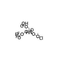 Cc1cc(Cl)ccc1-c1ccc(NC(=O)C(Cc2ccc(C(=O)O)cc2)c2ccc(-c3ccc(C(=O)C(F)(F)F)cc3)cc2)cc1